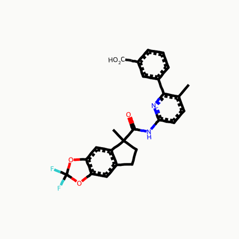 Cc1ccc(NC(=O)C2(C)CCc3cc4c(cc32)OC(F)(F)O4)nc1-c1cccc(C(=O)O)c1